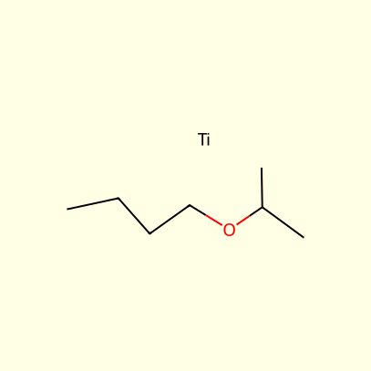 CCCCOC(C)C.[Ti]